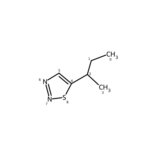 CCC(C)c1cnns1